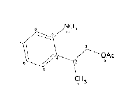 CC(=O)OCC(C)c1ccccc1[N+](=O)[O-]